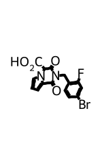 O=C(O)C1C(=O)N(Cc2ccc(Br)cc2F)C(=O)c2cccn21